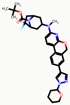 CN(c1ccc2c(n1)OCc1cc(-c3cnn(C4CCCCO4)c3)ccc1-2)C1CC2CC(F)(F)C(C1)N2C(=O)OC(C)(C)C